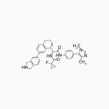 Cc1ncn(C)c1-c1ccc(NC(=O)[C@@H](NC(=O)C2(F)CC2)[C@@H]2CCCc3ccc(-c4ccc5c(c4)CNC5)cc32)cc1